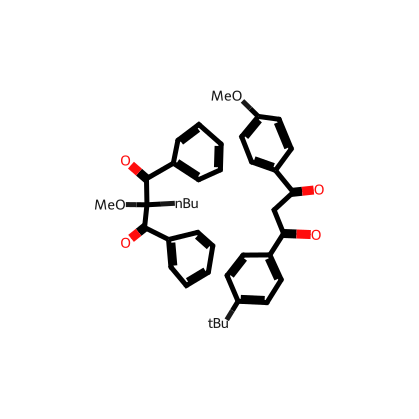 CCCCC(OC)(C(=O)c1ccccc1)C(=O)c1ccccc1.COc1ccc(C(=O)CC(=O)c2ccc(C(C)(C)C)cc2)cc1